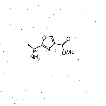 COC(=O)c1coc([C@H](C)N)n1